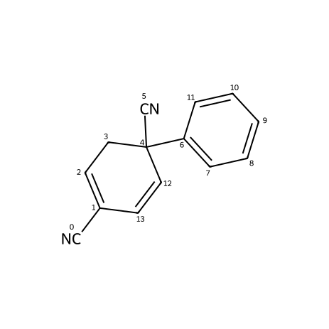 N#CC1=CCC(C#N)(c2ccccc2)C=C1